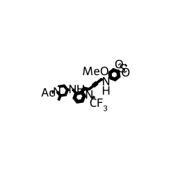 COc1cc(S(C)(=O)=O)ccc1NCC#Cc1cc2c(NC3CCN(C(C)=O)C(C)C3)cccc2n1CC(F)(F)F